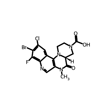 CN1C(=O)[C@H]2CN(C(=O)O)CCN2c2c1cnc1c(F)c(Br)c(Cl)cc21